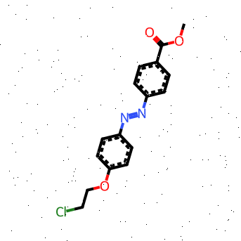 COC(=O)c1ccc(N=Nc2ccc(OCCCl)cc2)cc1